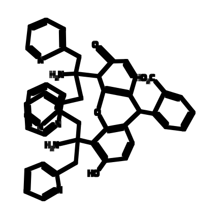 NC(Cc1ccccn1)(Cc1ccccn1)c1c(O)ccc2c1OC1=C(C=CC(=O)C1C(N)(Cc1ccccn1)Cc1ccccn1)C2c1ccccc1C(=O)O